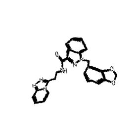 O=C(NCCc1nnc2ccccn12)c1nn(Cc2cccc3c2OCO3)c2ccccc12